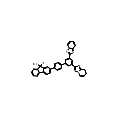 CC1(C)c2ccccc2-c2ccc(-c3ccc(-c4cc(-c5nc6n(n5)C=CCC6)cc(-c5nc6ccccn6n5)c4)cc3)cc21